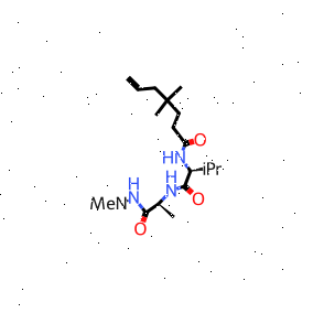 C=CCC(C)(C)CCC(=O)N[C@H](C(=O)N[C@@H](C)C(=O)NNC)C(C)C